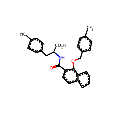 N#Cc1ccc(C[C@H](NC(=O)c2ccc3ccccc3c2OCc2ccc(C(F)(F)F)cc2)C(=O)O)cc1